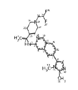 C=C(Nc1cc2cc(-c3cnc(C)n3C)ccc2cn1)C1CCN(CC(F)F)CC1